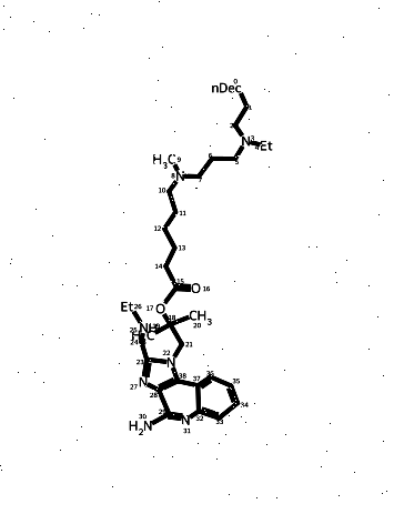 CCCCCCCCCCCCN(CC)CCCN(C)CCCCCC(=O)OC(C)(C)Cn1c(CNCC)nc2c(N)nc3ccccc3c21